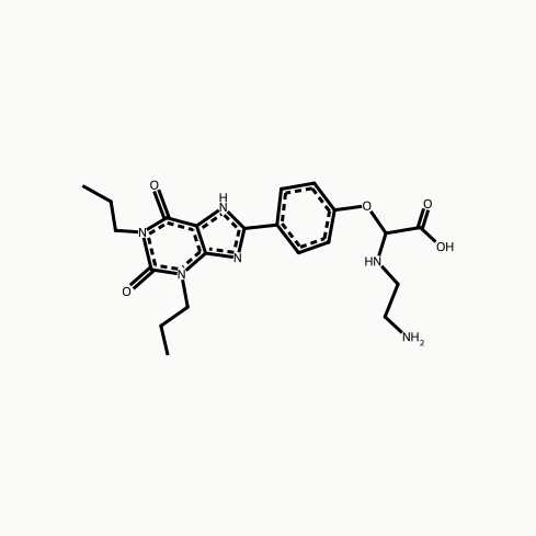 CCCn1c(=O)c2[nH]c(-c3ccc(OC(NCCN)C(=O)O)cc3)nc2n(CCC)c1=O